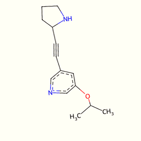 CC(C)Oc1cncc(C#CC2CCCN2)c1